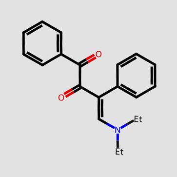 CCN(C=C(C(=O)C(=O)c1ccccc1)c1ccccc1)CC